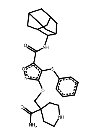 NC(=O)C1(COc2noc(C(=O)NC3C4CC5CC(C4)CC3C5)c2Sc2ccccc2)CCNCC1